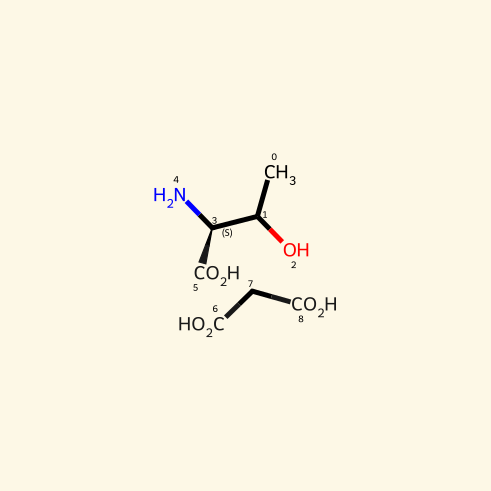 CC(O)[C@H](N)C(=O)O.O=C(O)CC(=O)O